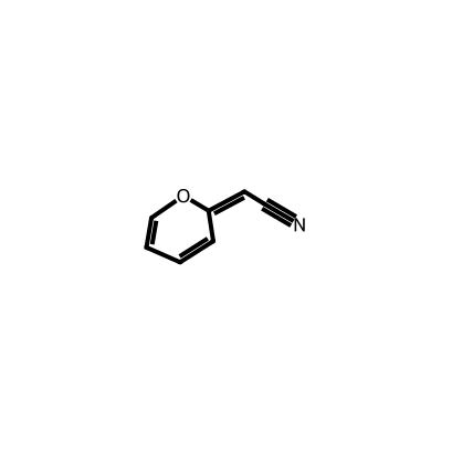 N#CC=C1C=CC=CO1